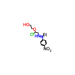 CCN(NCC(Cl)OCCO)c1ccc([N+](=O)[O-])cc1